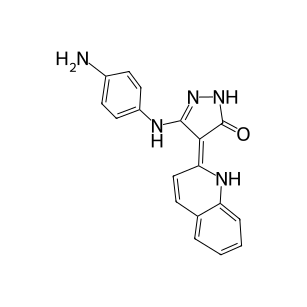 Nc1ccc(NC2=NNC(=O)/C2=C2/C=Cc3ccccc3N2)cc1